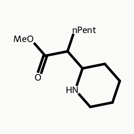 CCCCCC(C(=O)OC)C1CCCCN1